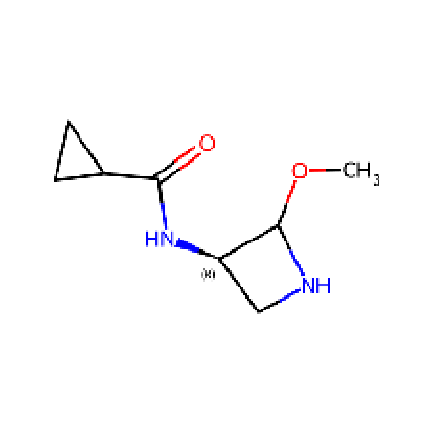 COC1NC[C@H]1NC(=O)C1CC1